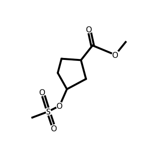 COC(=O)C1CCC(OS(C)(=O)=O)C1